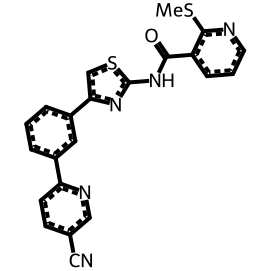 CSc1ncccc1C(=O)Nc1nc(-c2cccc(-c3ccc(C#N)cn3)c2)cs1